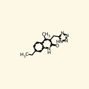 CCc1ccc2c(C)c(Cc3nnn[nH]3)c(=O)[nH]c2c1